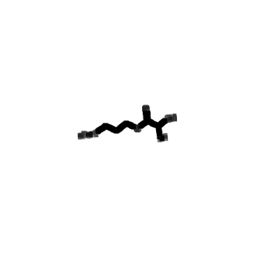 CCCCCCCCOC(=O)C(O)S